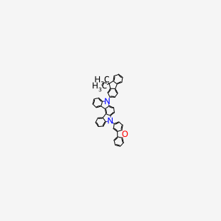 CC1(C)c2ccccc2-c2ccc(-n3c4ccccc4c4c5c6ccccc6n(-c6ccc7oc8ccccc8c7c6)c5ccc43)cc21